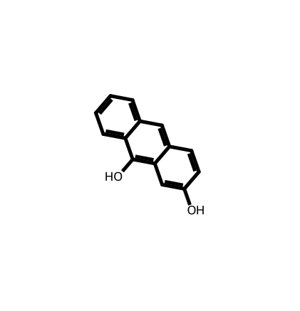 Oc1ccc2cc3ccccc3c(O)c2c1